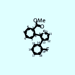 COC(=O)c1ccccc1-c1sccc1-c1ccccc1F